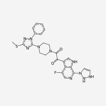 CSc1nc(N2CCN(C(=O)C(=O)c3c[nH]c4c(N5C=CNN5)ncc(F)c34)CC2)n(-c2ccccc2)n1